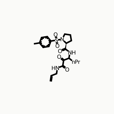 C=CCNC(=O)C(=O)C(CCC)NC(=O)[C@@H]1CCCN1S(=O)(=O)c1ccc(C)cc1